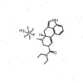 CCN(CC)C(=O)[C@@H]1C=C2c3cccc4[nH]cc(c34)C[C@H]2N(C)C1.F[P-](F)(F)(F)(F)F.[H+]